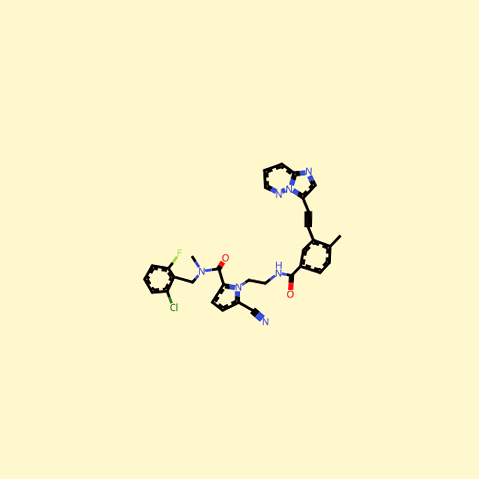 Cc1ccc(C(=O)NCCn2c(C#N)ccc2C(=O)N(C)Cc2c(F)cccc2Cl)cc1C#Cc1cnc2cccnn12